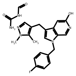 Cc1c(Cc2cn(Cc3ccc(F)cc3)c3cnc(O)cc23)cnn1C.NC(=O)NC=O